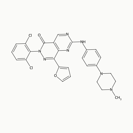 CN1CCN(c2ccc(Nc3ncc4c(=O)n(-c5c(Cl)cccc5Cl)nc(-c5ccco5)c4n3)cc2)CC1